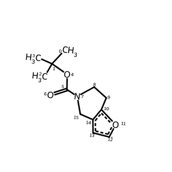 CC(C)(C)OC(=O)N1CCc2o[c]cc2C1